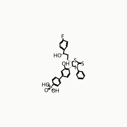 O=P(O)(O)c1ccc(-c2ccc([C@@H]3[C@H](CC[C@H](O)c4ccc(F)cc4)SC(=S)N3c3ccccc3)c(O)c2)cc1